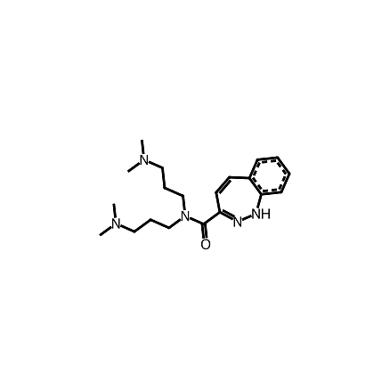 CN(C)CCCN(CCCN(C)C)C(=O)C1=NNc2ccccc2C=C1